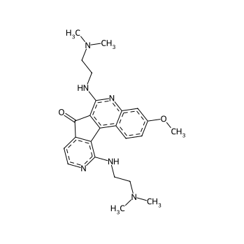 COc1ccc2c3c(c(NCCN(C)C)nc2c1)C(=O)c1ccnc(NCCN(C)C)c1-3